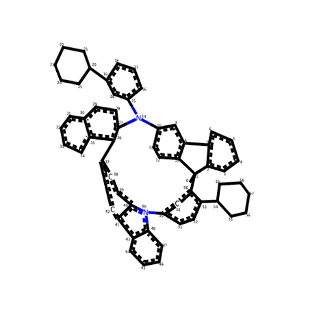 CC12c3ccccc3-c3cc(ccc31)N(c1cccc(C3CCCCC3)c1)c1ccc3ccccc3c1-c1ccc3c(c1)c1ccccc1n3-c1ccc(C3CCCCC3)c2c1